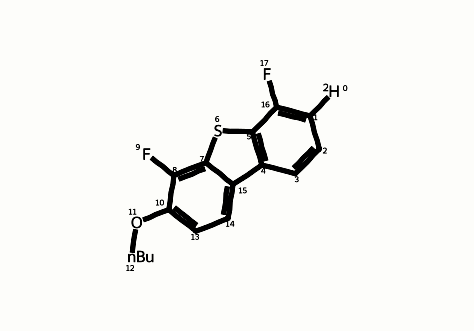 [2H]c1ccc2c(sc3c(F)c(OCCCC)ccc32)c1F